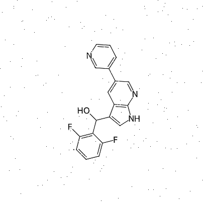 OC(c1c(F)[c]ccc1F)c1c[nH]c2ncc(-c3cccnc3)cc12